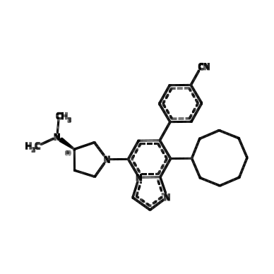 CN(C)[C@@H]1CCN(c2cc(-c3ccc(C#N)cc3)c(C3CCCCCCC3)c3nccn23)C1